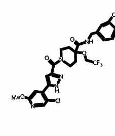 COc1cc(-c2cc(C(=O)N3CCC(OCC(F)(F)F)(C(=O)NCc4cccc(Cl)c4)CC3)n[nH]2)c(Cl)cn1